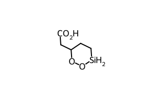 O=C(O)CC1CC[SiH2]OO1